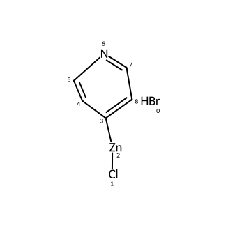 Br.[Cl][Zn][c]1ccncc1